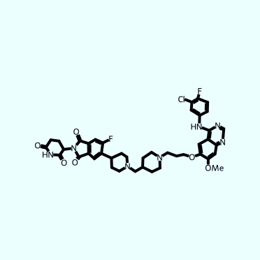 COc1cc2ncnc(Nc3ccc(F)c(Cl)c3)c2cc1OCCCN1CCC(CN2CCC(c3cc4c(cc3F)C(=O)N(C3CCC(=O)NC3=O)C4=O)CC2)CC1